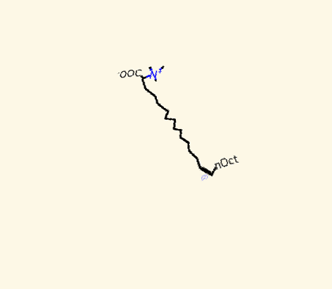 CCCCCCCC/C=C\CCCCCCCCCCCCC(C(=O)[O-])[N+](C)(C)C